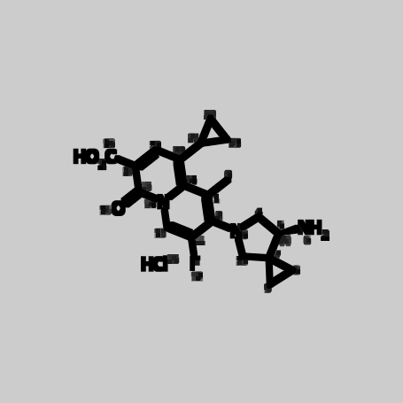 Cc1c(N2C[C@@H](N)C3(CC3)C2)c(F)cn2c(=O)c(C(=O)O)cc(C3CC3)c12.Cl